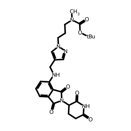 CN(CCCn1cc(CNc2cccc3c2C(=O)N(C2CCC(=O)NC2=O)C3=O)cn1)C(=O)OC(C)(C)C